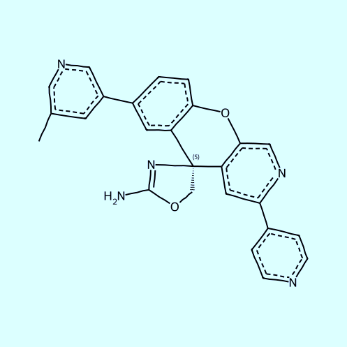 Cc1cncc(-c2ccc3c(c2)[C@@]2(COC(N)=N2)c2cc(-c4ccncc4)ncc2O3)c1